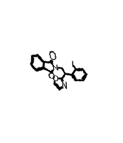 O=C1c2ccccc2C(=O)N1CC(c1ncco1)c1ccccc1I